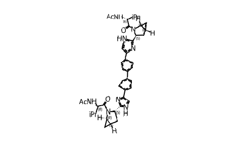 CC(=O)N[C@@H](C(=O)N1[C@@H]2C[C@@H]2C[C@H]1c1nc(-c2ccc(-c3ccc(-c4c[nH]c([C@@H]5C[C@@H]6C[C@H]6N5C(=O)[C@H](NC(C)=O)C(C)C)n4)cc3)cc2)c[nH]1)C(C)C